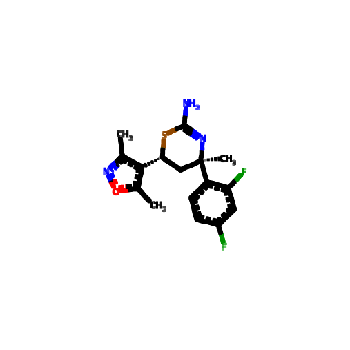 Cc1noc(C)c1[C@H]1C[C@](C)(c2ccc(F)cc2F)N=C(N)S1